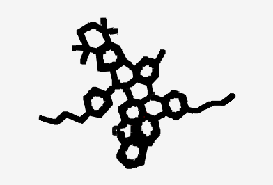 CCCCc1ccc(N2B3c4cc5oc6ccccc6c5cc4N(c4ccc(CCCC)cc4-c4ccccc4)c4cc(C)cc(c43)-c3cc4c(cc32)C(C)(C)CCC4(C)C)cc1